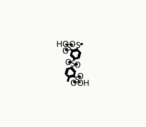 CSc1ccc(S(=O)(=O)c2ccc(C)c(S(=O)(=O)O)c2)cc1S(=O)(=O)O